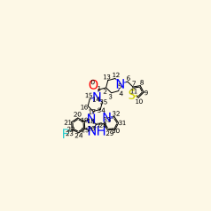 O=C(C1CCN(Cc2cccs2)CC1)N1CCC(N2c3ccc(F)cc3NC2c2ccccn2)CC1